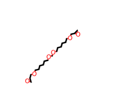 C(CCCOCC1CO1)CCOCOCCCCCCOCC1CO1